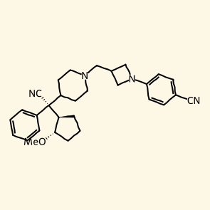 CO[C@H]1CCC[C@@H]1[C@@](C#N)(c1ccccc1)C1CCN(CC2CN(c3ccc(C#N)cc3)C2)CC1